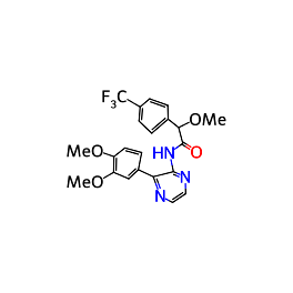 COc1ccc(-c2nccnc2NC(=O)C(OC)c2ccc(C(F)(F)F)cc2)cc1OC